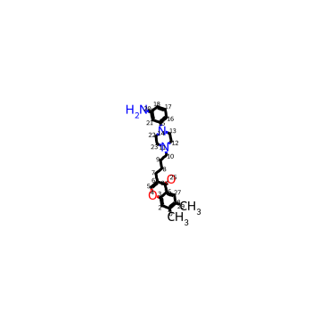 Cc1cc2occ(CCCCN3CCN(c4cccc(N)c4)CC3)c(=O)c2cc1C